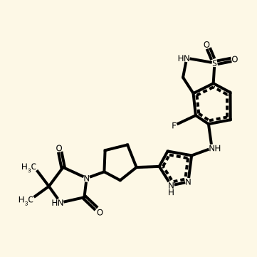 CC1(C)NC(=O)N(C2CCC(c3cc(Nc4ccc5c(c4F)CNS5(=O)=O)n[nH]3)C2)C1=O